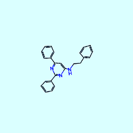 c1ccc(CCNc2cc(-c3ccccc3)nc(-c3ccccc3)n2)cc1